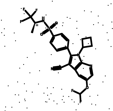 C[C@H](NS(=O)(=O)c1ccc(-c2c(C#N)c3cc(OC(F)F)cnc3n2C2CCC2)cc1)C(F)(F)F